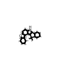 CC1(C)c2ccccc2-c2[nH]c3ccc4oc5ccccc5c4c3c21